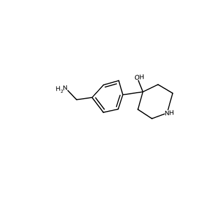 NCc1ccc(C2(O)CCNCC2)cc1